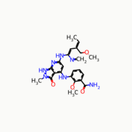 C=N/C(=C\C(=C/C)COC)Nc1cc(Nc2cccc(C(N)=O)c2OC)c2c(=O)n(C)[nH]c2n1